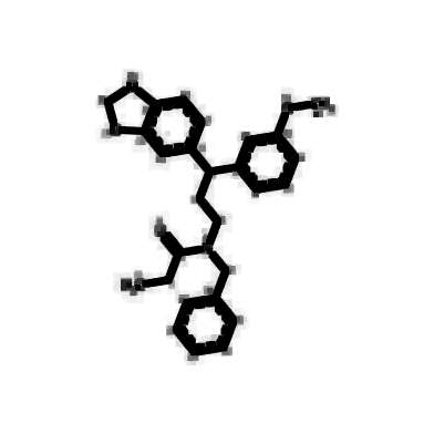 CCC(=O)N(CCC(c1cccc(OC)c1)c1ccc2c(c1)OCO2)Cc1ccccc1